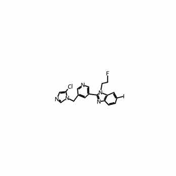 FCCn1c(-c2cncc(Cn3cncc3Cl)c2)nc2ccc(I)cc21